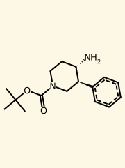 CC(C)(C)OC(=O)N1CC[C@H](N)[C@@H](c2ccccc2)C1